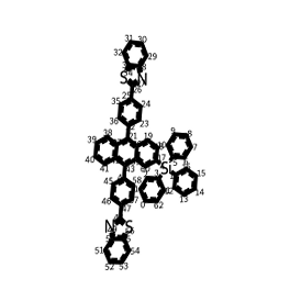 c1ccc([Si](c2ccccc2)(c2ccccc2)c2ccc3c(-c4ccc(-c5nc6ccccc6s5)cc4)c4ccccc4c(-c4ccc(-c5nc6ccccc6s5)cc4)c3c2)cc1